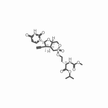 C#C[C@]1(C)[C@@H]2CP(=O)(OCC[C@H](NC(=O)OC)C(=O)OC(C)C)OC[C@H]2O[C@H]1n1ccc(=O)[nH]c1=O